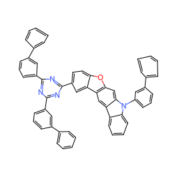 c1ccc(-c2cccc(-c3nc(-c4cccc(-c5ccccc5)c4)nc(-c4ccc5oc6cc7c(cc6c5c4)c4ccccc4n7-c4cccc(-c5ccccc5)c4)n3)c2)cc1